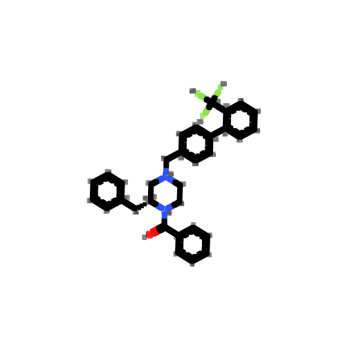 O=C(c1ccccc1)N1CCN(Cc2ccc(-c3ccccc3C(F)(F)F)cc2)C[C@H]1Cc1ccccc1